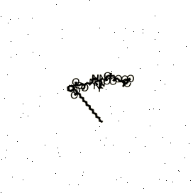 CCCCCCCCCCCCCCCC(=O)Oc1ccccc1C(=O)OCC(CCn1cnc2c(NC(=O)OC(C)(C)CC(=O)OCc3oc(=O)oc3C)nc(F)nc21)OC